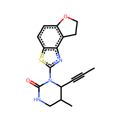 CC#CC1C(C)CNC(=O)N1c1nc2c3c(ccc2s1)OCC3